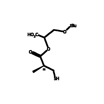 C[C@H](CS)C(=O)OC(COC(C)(C)C)C(=O)O